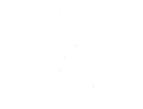 O=C(Nc1cccc(C#Cc2cccc3ccncc23)c1)Nc1cc(NC(=O)Nc2cccc(C#Cc3cccc4ccncc34)c2)cc(C(=O)O)c1